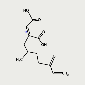 C=CC(=O)CCC(C)C/C(=C/C(=O)O)C(=O)O